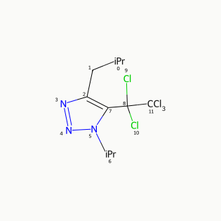 CC(C)Cc1nnn(C(C)C)c1C(Cl)(Cl)C(Cl)(Cl)Cl